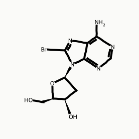 Nc1ncnc2c1nc(Br)n2[C@H]1C[C@@H](O)[C@@H](CO)O1